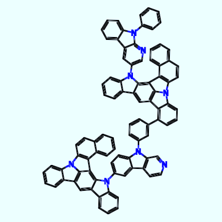 c1ccc(-n2c3ccccc3c3cc(-n4c5ccccc5c5cc6c7c(-c8cccc(-n9c%10ccc(-n%11c%12ccccc%12c%12cc%13c%14ccccc%14n%14c%15ccc%16ccccc%16c%15c(c%12%11)c%13%14)cc%10c%10ccncc%109)c8)cccc7n7c8ccc9ccccc9c8c(c54)c67)cnc32)cc1